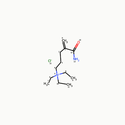 C=C(CCC[N+](CC)(CC)CC)C(N)=O.[Cl-]